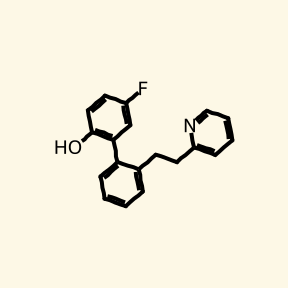 Oc1ccc(F)cc1-c1ccccc1CCc1ccccn1